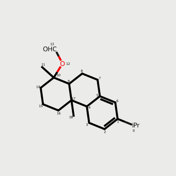 CC(C)C1=CCC2C(=C1)CCC1C(C)(OC=O)CCCC21C